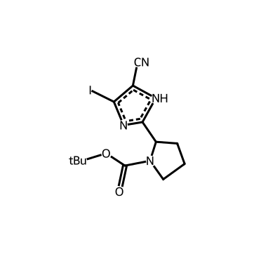 CC(C)(C)OC(=O)N1CCCC1c1nc(I)c(C#N)[nH]1